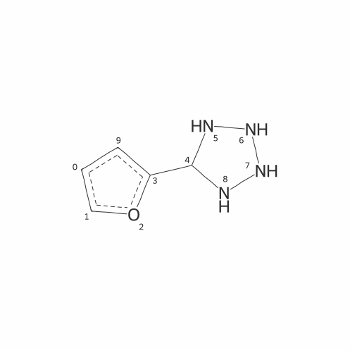 c1coc(C2NNNN2)c1